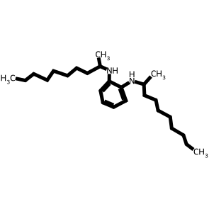 CCCCCCCCC(C)Nc1ccccc1NC(C)CCCCCCCC